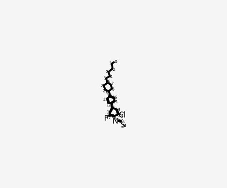 CCCCCCC1CCC(c2ccc(-c3cc(F)c(N=C=S)c(Cl)c3)cc2)CC1